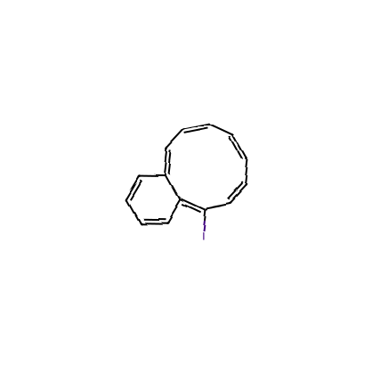 Ic1cccccccc2ccccc12